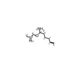 C=CCCCC(N)OC[SiH](C)C